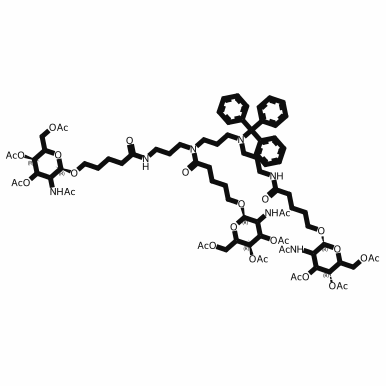 CC(=O)NC1C(OC(C)=O)[C@@H](OC(C)=O)C(COC(C)=O)O[C@H]1OCCCCC(=O)NCCCN(CCCN(CCCNC(=O)CCCCO[C@@H]1OC(COC(C)=O)[C@H](OC(C)=O)C(OC(C)=O)C1NC(C)=O)C(c1ccccc1)(c1ccccc1)c1ccccc1)C(=O)CCCCO[C@@H]1OC(COC(C)=O)[C@H](OC(C)=O)C(OC(C)=O)C1NC(C)=O